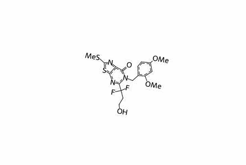 COc1ccc(Cn2c(C(F)(F)CCO)nc3sc(SC)nc3c2=O)c(OC)c1